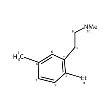 CCc1ccc(C)cc1CCNC